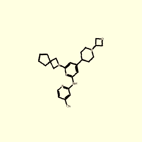 N#Cc1ccnc(Nc2cc(C3CCN(C4COC4)CC3)cc(N3CC4(CCCC4)C3)n2)c1